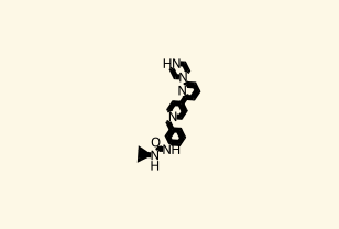 O=C(Nc1cccc(CN2CC=C(c3cccc(N4CCNCC4)n3)CC2)c1)NC1CC1